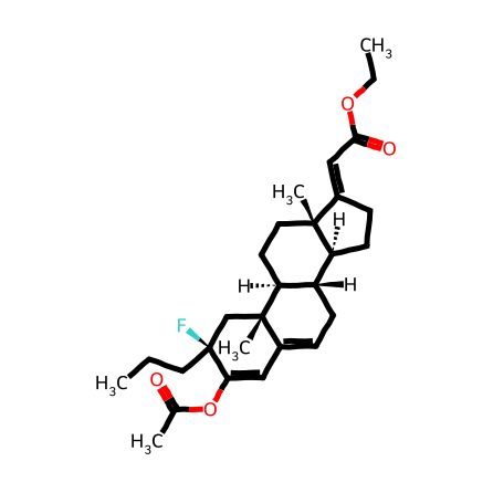 CCC[C@]1(F)C[C@@]2(C)C(=CC[C@@H]3[C@@H]2CC[C@]2(C)C(=CC(=O)OCC)CC[C@@H]32)C=C1OC(C)=O